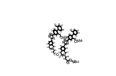 COCc1cc(-c2nc(-c3ccc4c(c3)CN(CCC(=O)O)CC4)no2)ccc1-c1ccccc1C.COCc1cc(-c2nc(-c3ccc4c(c3)CN(CCC(=O)OC(C)(C)C)CC4)no2)ccc1-c1ccccc1C